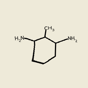 CC1C(N)CCCC1N